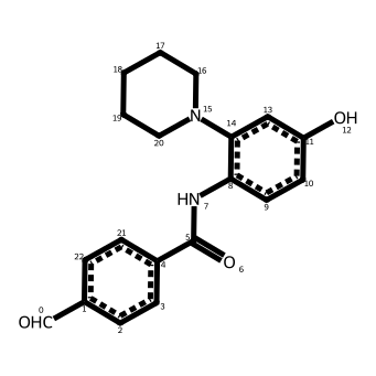 O=Cc1ccc(C(=O)Nc2ccc(O)cc2N2CCCCC2)cc1